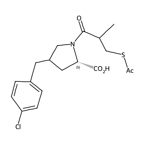 CC(=O)SCC(C)C(=O)N1CC(Cc2ccc(Cl)cc2)C[C@H]1C(=O)O